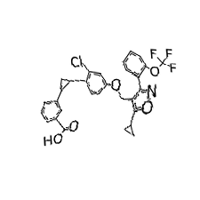 O=C(O)c1cccc(C2CC2c2ccc(OCc3c(-c4ccccc4OC(F)(F)F)noc3C3CC3)cc2Cl)c1